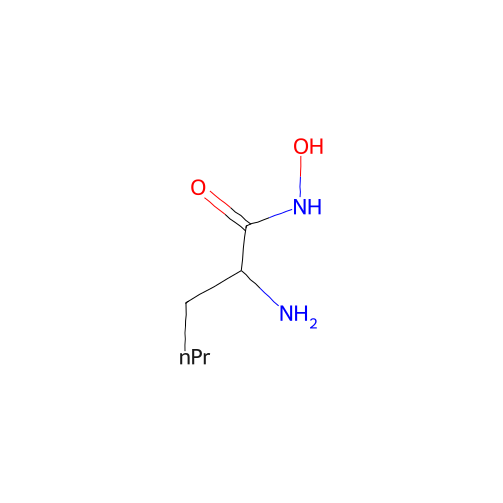 CCCCC(N)C(=O)NO